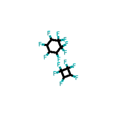 FC1C(F)C(F)(F)C1(F)F.FC1C(F)C(F)C(F)(F)C(F)(F)C1F